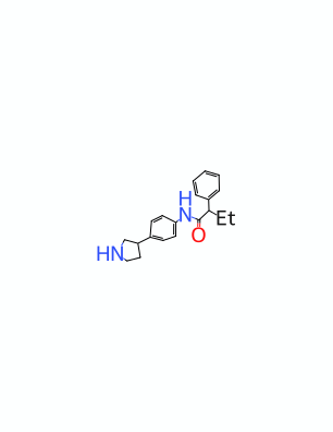 CCC(C(=O)Nc1ccc(C2CCNC2)cc1)c1ccccc1